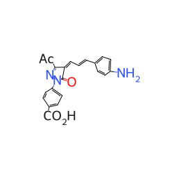 CC(=O)C1=NN(c2ccc(C(=O)O)cc2)C(=O)C1=CC=Cc1ccc(N)cc1